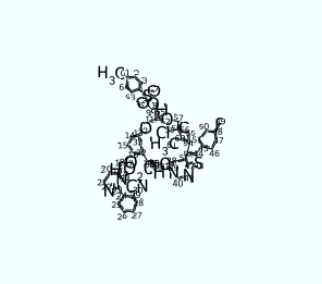 Cc1ccc(S(=O)(=O)OC[C@@H]2COc3ccc(OCc4ccnc(-c5ccccc5C#N)n4)c(c3)C[C@H](C(=O)O)Oc3ncnc4sc(-c5ccc(F)cc5)c(c34)-c3ccc(c(Cl)c3C)O2)cc1